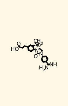 C[S+]([O-])c1cc(CCC(=O)O)ccc1N1CCN(c2ccc(C(=N)N)cc2)C1=O